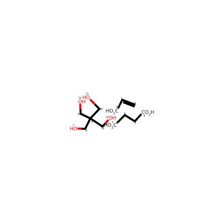 C=CC(=O)O.O=C(O)CCC(=O)O.OCC(CO)(CO)CO